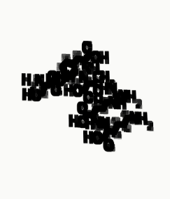 CC(O)C(N)C(=O)O.N=C(N)NCCCC(N)C(=O)O.NC(CO)C(=O)O.NC(Cc1ccc(O)cc1)C(=O)O.NCCCCC(N)C(=O)O